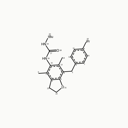 Cc1c2c(c(Cc3ccc(C(C)C)cc3)c(C)c1NC(=O)NC(C)(C)C)OCC2